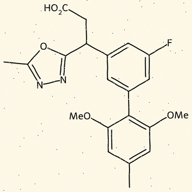 COc1cc(C)cc(OC)c1-c1cc(F)cc(C(CC(=O)O)c2nnc(C)o2)c1